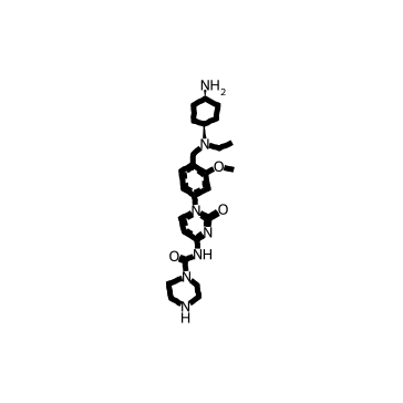 CCN(Cc1ccc(-n2ccc(NC(=O)N3CCNCC3)nc2=O)cc1OC)[C@H]1CC[C@H](N)CC1